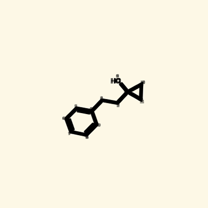 OC1(CCc2ccccc2)CC1